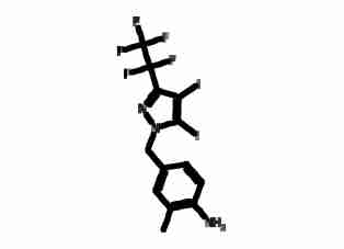 Cc1cc(Cn2nc(C(F)(F)C(F)(F)F)c(I)c2I)ccc1N